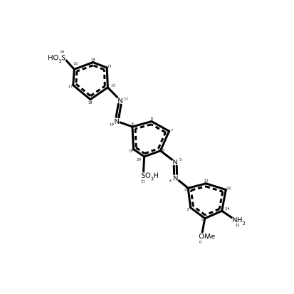 COc1cc(N=Nc2ccc(N=Nc3ccc(S(=O)(=O)O)cc3)cc2S(=O)(=O)O)ccc1N